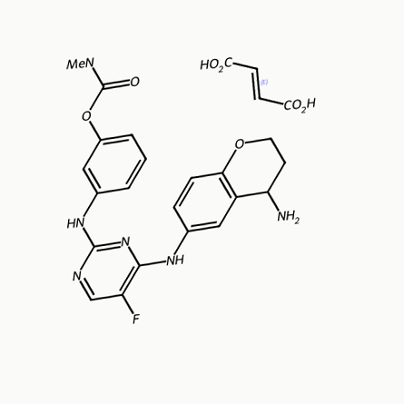 CNC(=O)Oc1cccc(Nc2ncc(F)c(Nc3ccc4c(c3)C(N)CCO4)n2)c1.O=C(O)/C=C/C(=O)O